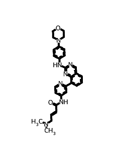 CN(C)C/C=C/C(=O)Nc1ccnc(-c2cccc3cnc(Nc4ccc(N5CCOCC5)cc4)nc23)c1